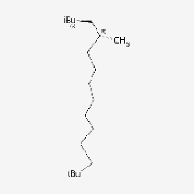 CC[C@H](C)C[C@H](C)CCCCCCCCC(C)(C)C